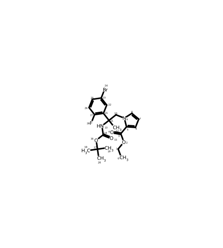 CCOC(=O)c1cccn1CC(C)(NC(=O)OC(C)(C)C)c1cc(Br)ccc1F